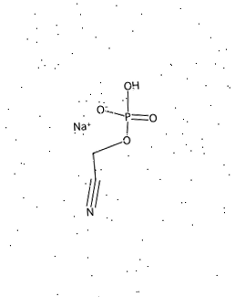 N#CCOP(=O)([O-])O.[Na+]